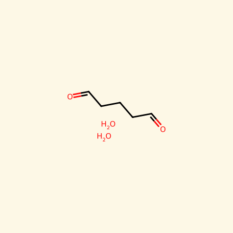 O.O.O=CCCCC=O